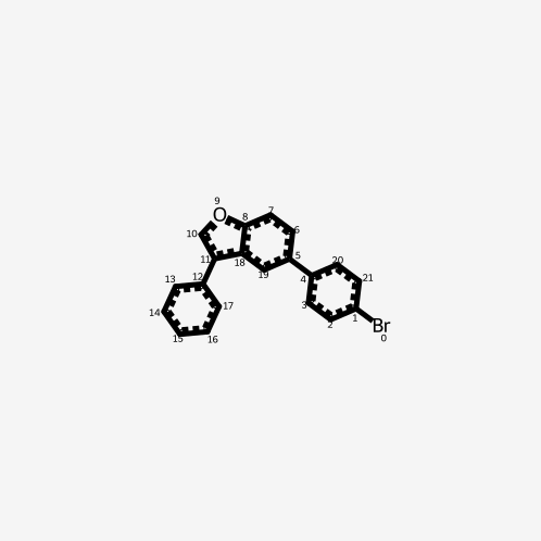 Brc1ccc(-c2ccc3occ(-c4ccccc4)c3c2)cc1